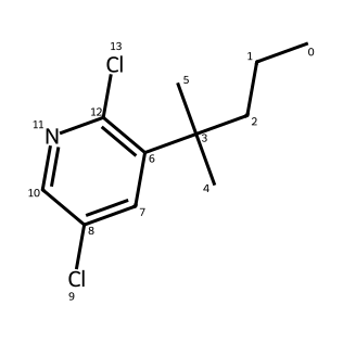 CCCC(C)(C)c1cc(Cl)cnc1Cl